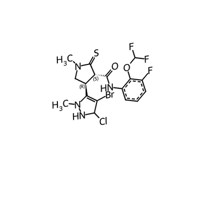 CN1C[C@H](C2=C(Br)C(Cl)NN2C)[C@@H](C(=O)Nc2cccc(F)c2OC(F)F)C1=S